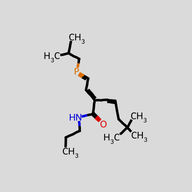 CCCNC(=O)C(/C=C\CC(C)(C)C)=C/C=P/CC(C)C